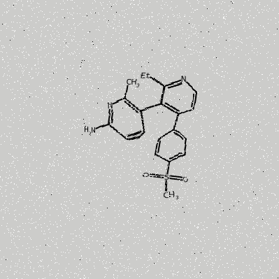 CCc1nccc(-c2ccc(S(C)(=O)=O)cc2)c1-c1ccc(N)nc1C